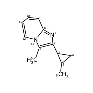 Cc1c(C2CC2C)nc2ccccn12